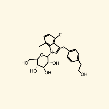 Cc1ccc(Cl)c2c(Sc3ccc(CCO)cc3)cn([C@@H]3O[C@H](CO)[C@@H](O)[C@H](O)[C@H]3O)c12